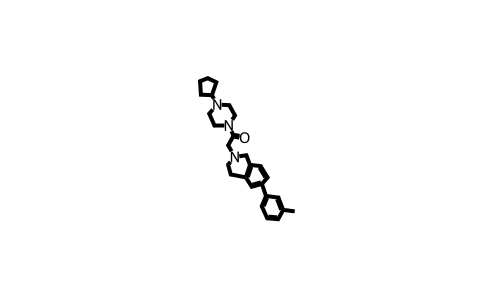 Cc1cccc(-c2ccc3c(c2)CCN(CC(=O)N2CCN(C4CCCC4)CC2)C3)c1